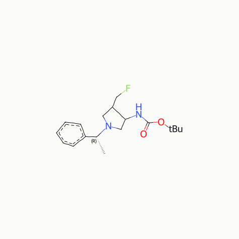 C[C@H](c1ccccc1)N1CC(CF)C(NC(=O)OC(C)(C)C)C1